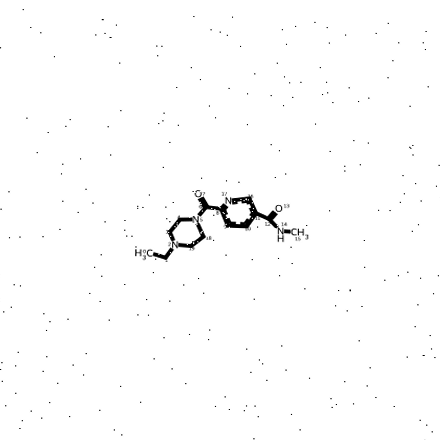 CCN1CCN(C(=O)c2ccc(C(=O)NC)cn2)CC1